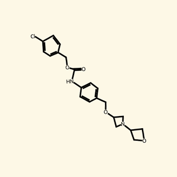 O=C(Nc1ccc(COC2CN(C3COC3)C2)cc1)OCc1ccc(Cl)cc1